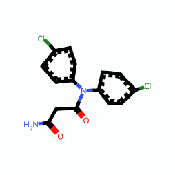 NC(=O)CC(=O)N(c1ccc(Cl)cc1)c1ccc(Cl)cc1